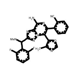 CNC(c1nc2c(N)nc(-c3ccccc3C#N)c(-c3ocnc3C)n2n1)c1c(F)cccc1F